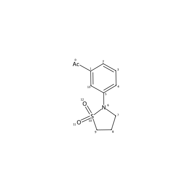 CC(=O)c1cccc(N2CCCS2(=O)=O)c1